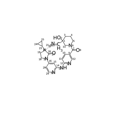 CC1(O)CCCN(C(=O)c2ccc(Nc3cc(N4CC[C@@](C#N)(C5CC5)C4=O)ccn3)nc2)C1